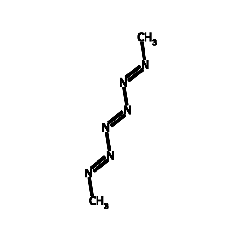 CN=NN=NN=NC